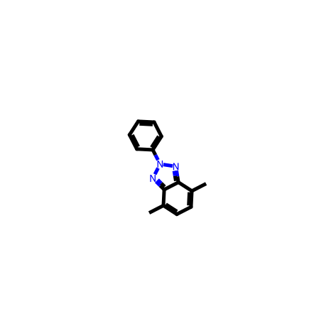 Cc1ccc(C)c2nn(-c3ccccc3)nc12